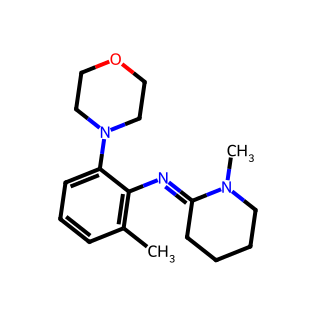 Cc1cccc(N2CCOCC2)c1/N=C1\CCCCN1C